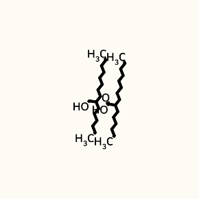 CCCCCCCCC(CCCCCC)C(=O)O.CCCCCCCCC(CO)CCCCCC